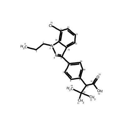 CCCn1nc(-c2ccc(C(C(=O)O)C(C)(C)C)cc2)c2cccc(Cl)c21